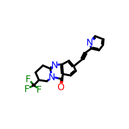 O=c1c2ccc(C#Cc3ccccn3)cc2nc2n1CC(C(F)(F)F)CC2